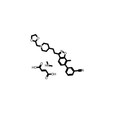 CNC.Cc1c(-c2cccc(C#N)c2)ccc2c(CCC3CCN(CC4OCCO4)CC3)noc12.O=C(O)C=CC(=O)O